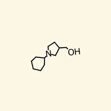 OCC1CCN(C2CCCCC2)C1